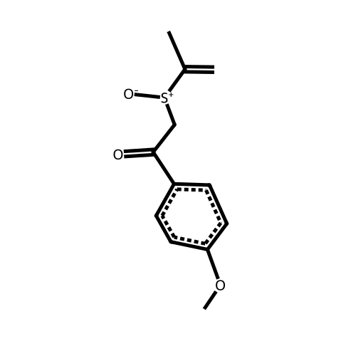 C=C(C)[S+]([O-])CC(=O)c1ccc(OC)cc1